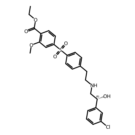 CCOC(=O)c1ccc(S(=O)(=O)c2ccc(CCNC[C@H](O)c3cccc(Cl)c3)cc2)cc1OC